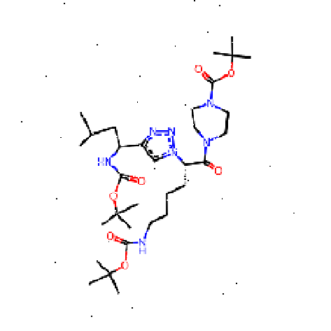 CC(C)CC(NC(=O)OC(C)(C)C)c1cn([C@@H](CCCCNC(=O)OC(C)(C)C)C(=O)N2CCN(C(=O)OC(C)(C)C)CC2)nn1